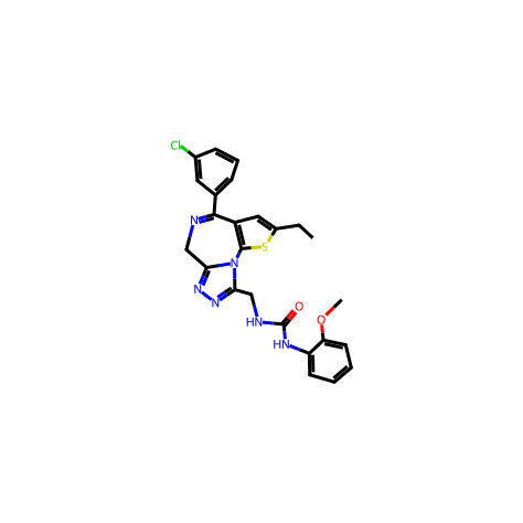 CCc1cc2c(s1)-n1c(nnc1CNC(=O)Nc1ccccc1OC)CN=C2c1cccc(Cl)c1